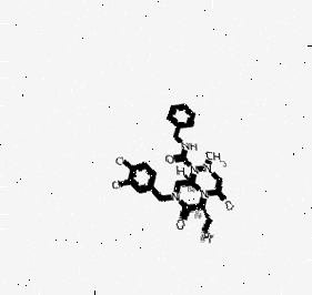 CC(C)C[C@H]1C(=O)N(Cc2ccc(Cl)c(Cl)c2)C[C@H]2N1C(=O)CN(C)N2C(=O)NCc1ccccc1